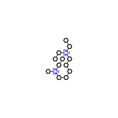 c1ccc(-c2ccc(-c3nc(-c4ccccc4)nc(-c4cccc(-c5cccc(-c6cccc(-c7cccc(-c8cccc(-c9nc(-c%10cccc(-c%11ccccc%11)c%10)nc(-c%10cccc(-c%11ccccc%11)c%10)n9)c8)c7)c6)c5)c4)n3)cc2)cc1